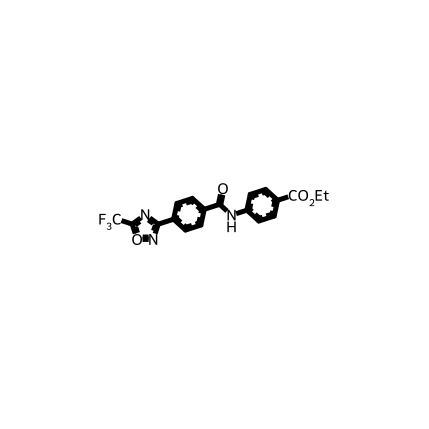 CCOC(=O)c1ccc(NC(=O)c2ccc(-c3noc(C(F)(F)F)n3)cc2)cc1